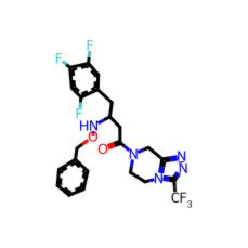 O=C(CC(Cc1cc(F)c(F)cc1F)NOCc1ccccc1)N1CCn2c(nnc2C(F)(F)F)C1